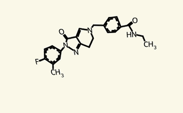 CCNC(=O)c1ccc(CN2C=C3C(=O)N(c4ccc(F)c(C)c4)N=C3CC2)cc1